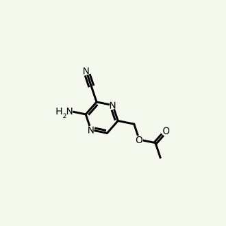 CC(=O)OCc1cnc(N)c(C#N)n1